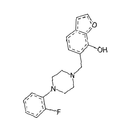 Oc1c(CN2CCN(c3ccccc3F)CC2)ccc2ccoc12